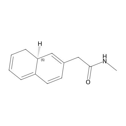 CNC(=O)CC1=C[C@@H]2CC=CC=C2C=C1